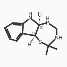 CC1(C)NCP[C@@H]2Nc3ccccc3[C@@H]2S1